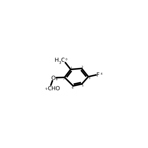 Cc1cc(F)ccc1OC=O